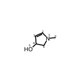 CN1C=CC(O)C1